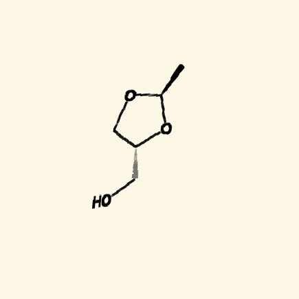 C[C@@H]1OC[C@@H](CO)O1